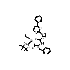 CCC[C@H](NC(=O)[C@H](Cc1ccccc1)NC(=O)[C@@H]1CCN1c1nccc(-c2ccccc2)n1)B1OC(C)(C)C(C)(C)O1